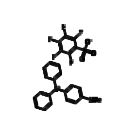 CSc1ccc([S+](c2ccccc2)c2ccccc2)cc1.O=S(=O)([O-])c1c(F)c(F)c(F)c(F)c1F